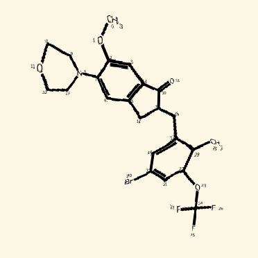 COc1cc2c(cc1N1CCOCC1)CC(CC1=CC(Br)=CC(OC(F)(F)F)C1C)C2=O